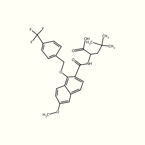 COc1ccc2c(OCc3ccc(C(F)(F)F)cc3)c(C(=O)NC(CC(C)(C)C)C(=O)O)ccc2c1